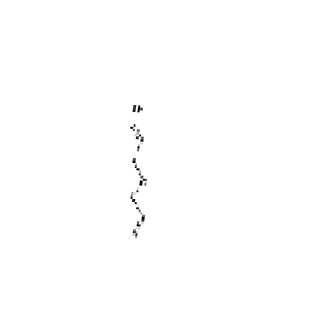 C=CCOCC=C.[Li]